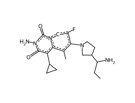 CCC(N)C1CCN(c2c(F)cn3c(=O)n(N)c(=O)c(C4CC4)c3c2C)C1